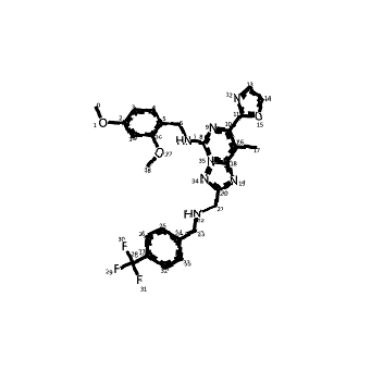 COc1ccc(CNc2nc(-c3ncco3)c(C)c3nc(CNCc4ccc(C(F)(F)F)cc4)nn23)c(OC)c1